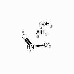 O=[NH+][O-].[AlH3].[GaH3]